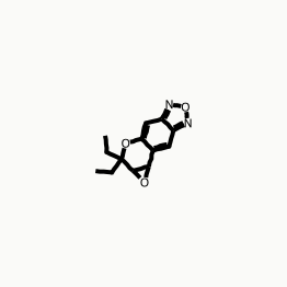 CCC1(CC)Oc2cc3nonc3cc2C2OC21